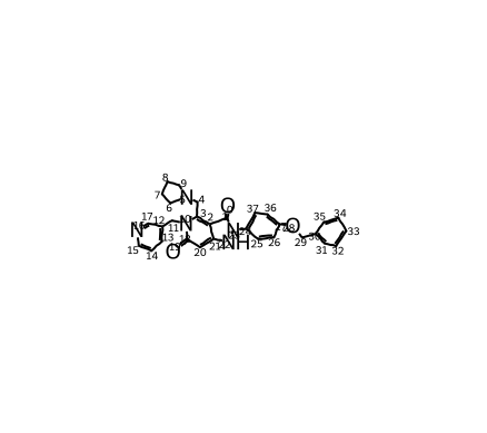 O=c1c2c(CN3CCCC3)n(Cc3cccnc3)c(=O)cc2[nH]n1-c1ccc(OCc2ccccc2)cc1